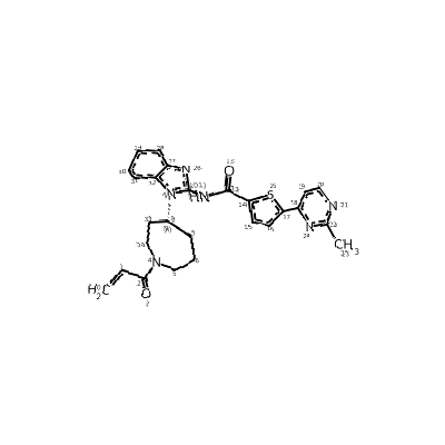 C=CC(=O)N1CCC[C@@H](n2c(NC(=O)c3ccc(-c4ccnc(C)n4)s3)nc3ccccc32)CC1